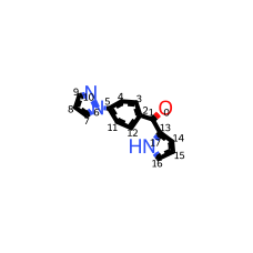 O=C(c1ccc(-n2cccn2)cc1)c1ccc[nH]1